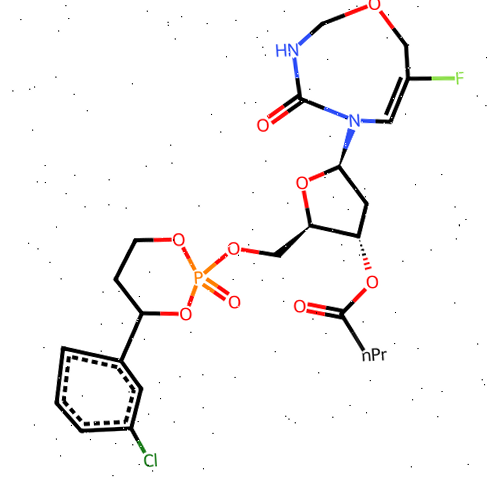 CCCC(=O)O[C@H]1C[C@H](N2/C=C(/F)COCNC2=O)O[C@@H]1COP1(=O)OCCC(c2cccc(Cl)c2)O1